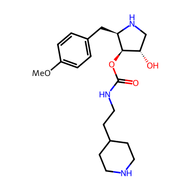 COc1ccc(C[C@H]2NC[C@H](O)[C@H]2OC(=O)NCCC2CCNCC2)cc1